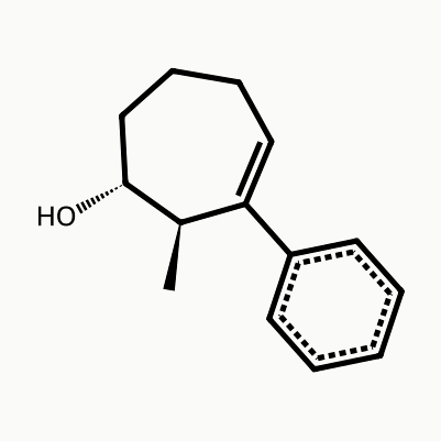 C[C@@H]1C(c2ccccc2)=CCCC[C@H]1O